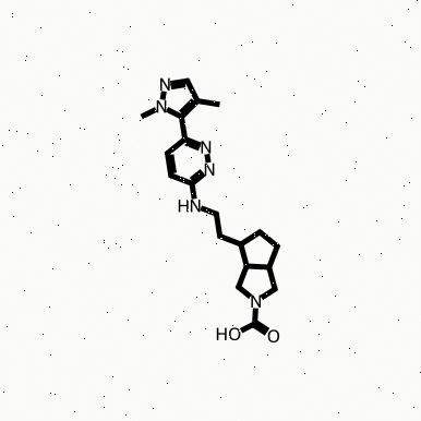 Cc1cnn(C)c1-c1ccc(NCCC2CCC3CN(C(=O)O)CC23)nn1